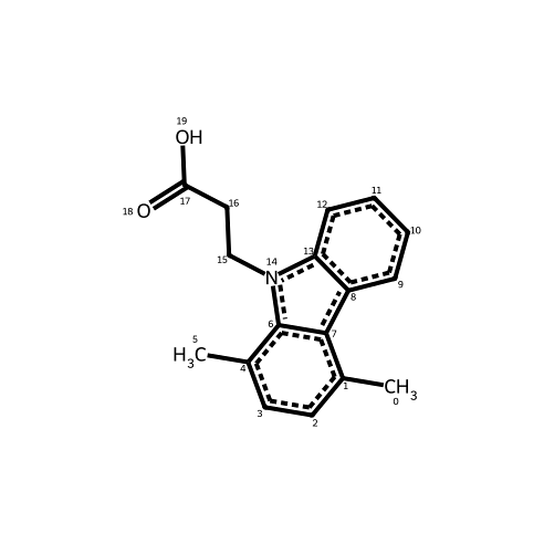 Cc1ccc(C)c2c1c1ccccc1n2CCC(=O)O